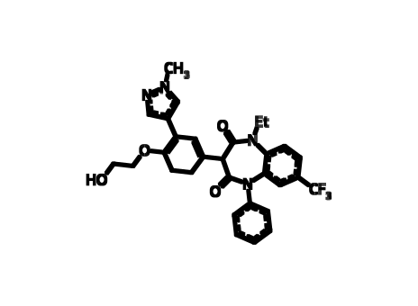 CCN1C(=O)C(C2=CC(c3cnn(C)c3)=C(OCCO)CC2)C(=O)N(c2ccccc2)c2cc(C(F)(F)F)ccc21